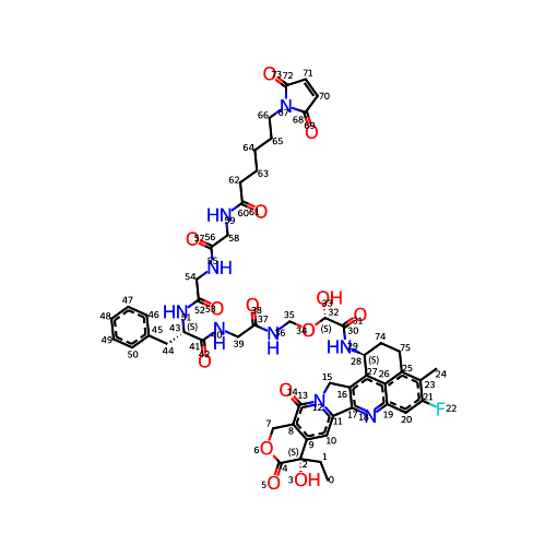 CC[C@@]1(O)C(=O)OCc2c1cc1n(c2=O)Cc2c-1nc1cc(F)c(C)c3c1c2[C@@H](NC(=O)[C@@H](O)OCNC(=O)CNC(=O)[C@H](Cc1ccccc1)NC(=O)CNC(=O)CNC(=O)CCCCCN1C(=O)C=CC1=O)CC3